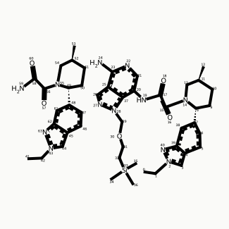 CCn1cc2ccc([C@H]3CC[C@H](C)CN3C(=O)C(=O)Nc3cnc(N)c4cnn(COCC[Si](C)(C)C)c34)cc2n1.CCn1cc2ccc([C@H]3CC[C@H](C)CN3C(=O)C(N)=O)cc2n1